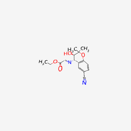 CCOC(=O)/C=N/[C@H]1c2cc(C#N)ccc2OC(C)(C)[C@@H]1O